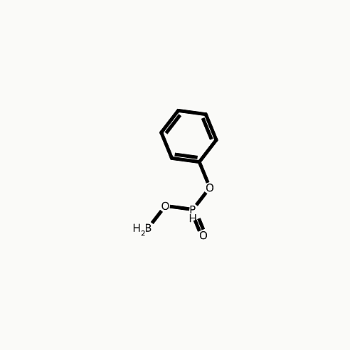 BO[PH](=O)Oc1ccccc1